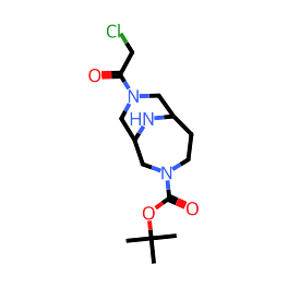 CC(C)(C)OC(=O)N1CCC2CN(C(=O)CCl)CC(C1)N2